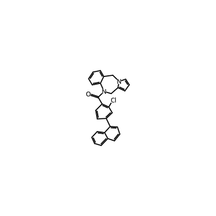 O=C(c1ccc(-c2cccc3ccccc23)cc1Cl)N1Cc2cccn2Cc2ccccc21